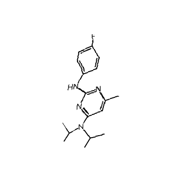 Cc1cc(N(C(C)C)C(C)C)nc(Nc2ccc(F)cc2)n1